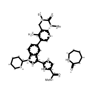 CCN(Cc1cncc(-c2ccc3c(c2)c(-c2ncc(C(=O)NC)[nH]2)nn3C2CCCCO2)c1C)C(=O)OC(C)(C)C.O=C1CCCCCN1